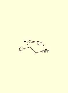 C=C.CCCCCCl